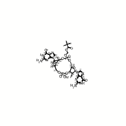 CC(C)(C)C(=O)OCOP1(=O)OC[C@H]2O[C@@H](n3cnc4c(=O)[nH]c(N)nc43)[C@@H](F)C2OP(=O)(O)OC[C@H]2O[C@@H](n3cnc4c(=O)[nH]c(N)nc43)[C@@H](O1)C2O